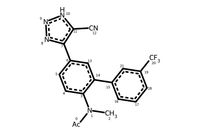 CC(=O)N(C)c1ccc(-c2nn[nH]c2C#N)cc1-c1cccc(C(F)(F)F)c1